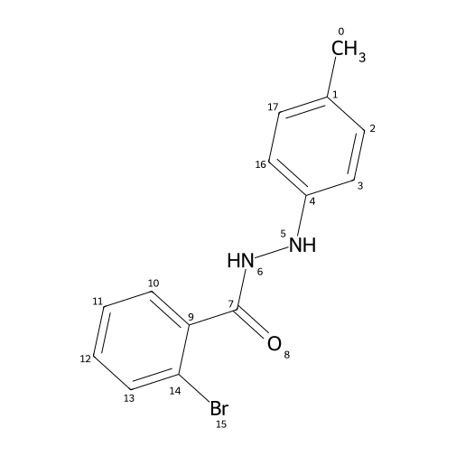 Cc1ccc(NNC(=O)c2ccccc2Br)cc1